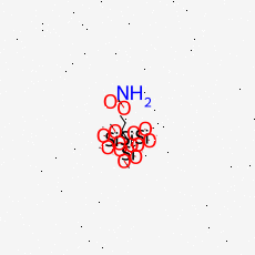 CO[Si](OC)(OC)O[Si](CCCOC(N)=O)(O[Si](OC)(OC)OC)O[Si](OC)(OC)OC